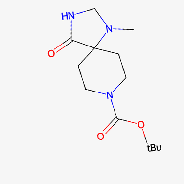 CN1CNC(=O)C12CCN(C(=O)OC(C)(C)C)CC2